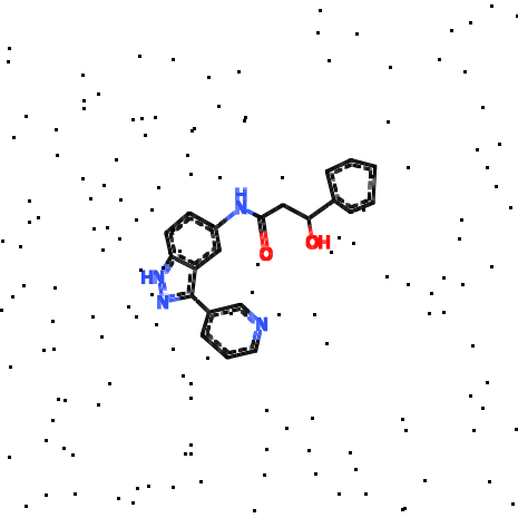 O=C(CC(O)c1ccccc1)Nc1ccc2[nH]nc(-c3cccnc3)c2c1